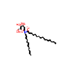 CCCCCCCCCCCCCCCC(=O)N(CCCCCCCCCCCC)[C@@H]1O[C@H](CO)[C@@H](O)[C@H](O)[C@@H]1O